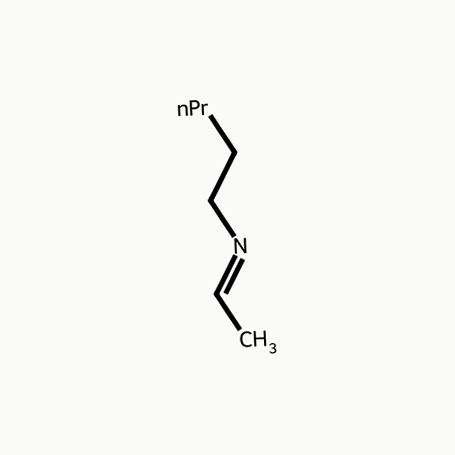 CC=NCCCCC